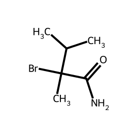 CC(C)C(C)(Br)C(N)=O